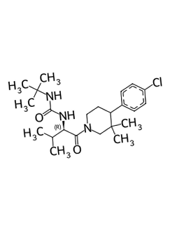 CC(C)[C@@H](NC(=O)NC(C)(C)C)C(=O)N1CCC(c2ccc(Cl)cc2)C(C)(C)C1